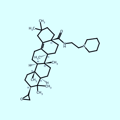 CC1(C)CC[C@]2(C(=O)NCCN3CCCCC3)CC[C@]3(C)C(=C2C1)CC[C@@H]1[C@@]2(C)CC[C@H](C4CO4)C(C)(C)[C@@H]2CC[C@]13C